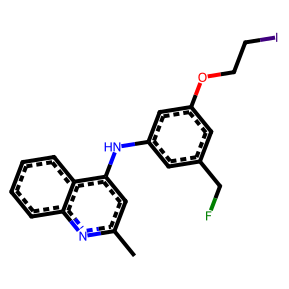 Cc1cc(Nc2cc(CF)cc(OCCI)c2)c2ccccc2n1